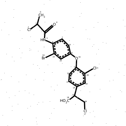 CC(Cl)C(=O)Nc1ccc(Oc2ccc(C(CCl)C(=O)O)cc2Cl)cc1Br